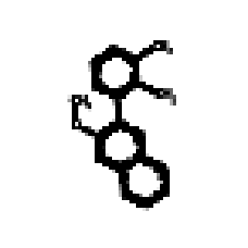 COc1cc2ccccc2cc1-c1cccc(C)c1C